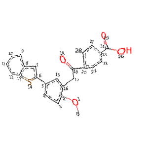 COc1ccc(-c2cc3ccccc3s2)cc1CC(=O)c1ccc(C(=O)O)cc1